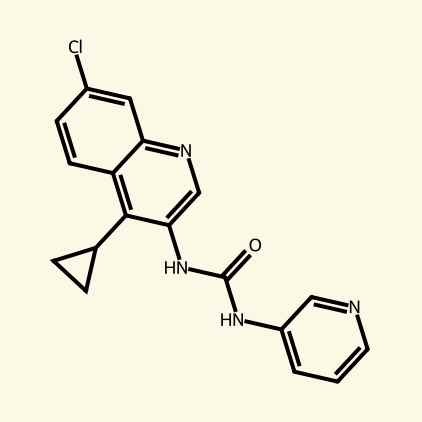 O=C(Nc1cccnc1)Nc1cnc2cc(Cl)ccc2c1C1CC1